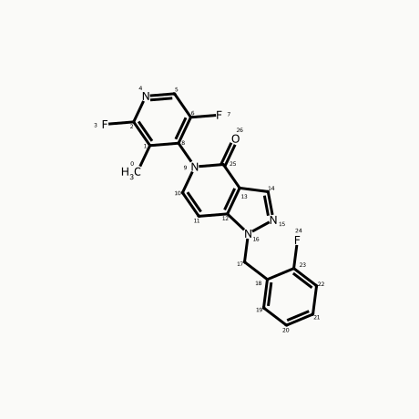 Cc1c(F)ncc(F)c1-n1ccc2c(cnn2Cc2ccccc2F)c1=O